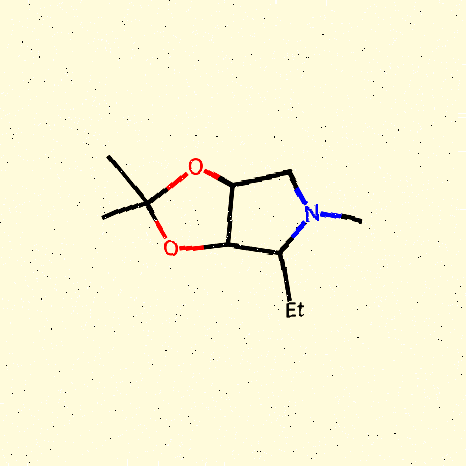 CCC1C2OC(C)(C)OC2CN1C